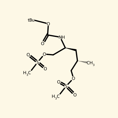 C[C@H](COS(C)(=O)=O)C[C@@H](COS(C)(=O)=O)NC(=O)OC(C)(C)C